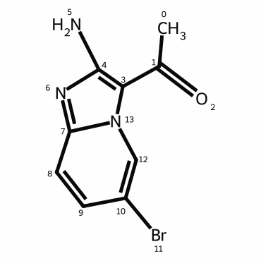 CC(=O)c1c(N)nc2ccc(Br)cn12